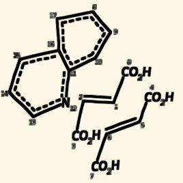 O=C(O)/C=C/C(=O)O.O=C(O)/C=C/C(=O)O.c1ccc2ncccc2c1